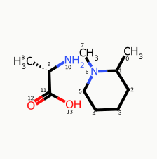 CC1CCCCN1C.C[C@H](N)C(=O)O